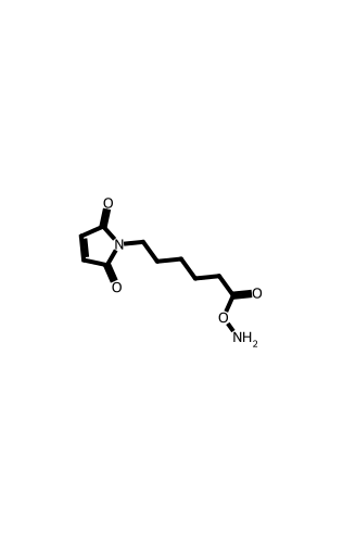 NOC(=O)CCCCCN1C(=O)C=CC1=O